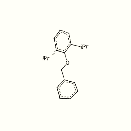 [CH2][C@@H](C)c1cccc(C(C)C)c1OCc1ccccc1